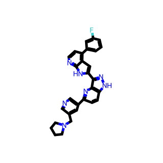 Fc1cccc(-c2ccnc3[nH]c(-c4n[nH]c5ccc(-c6cncc(CN7CCCC7)c6)nc45)cc23)c1